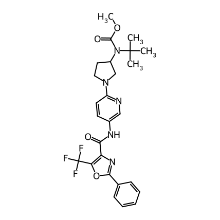 COC(=O)N(C1CCN(c2ccc(NC(=O)c3nc(-c4ccccc4)oc3C(F)(F)F)cn2)C1)C(C)(C)C